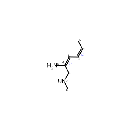 C/C=C\C=C(\N)CNC